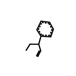 C=C[C](CC)c1ccccc1